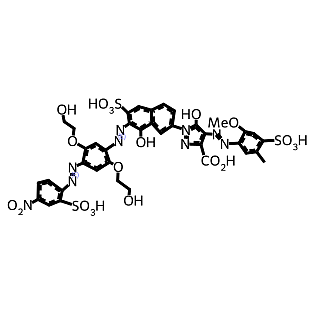 COc1cc(S(=O)(=O)O)c(C)cc1N=Nc1c(C(=O)O)nn(-c2ccc3cc(S(=O)(=O)O)c(/N=N/c4cc(OCCO)c(/N=N/c5ccc([N+](=O)[O-])cc5S(=O)(=O)O)cc4OCCO)c(O)c3c2)c1O